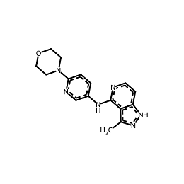 Cc1n[nH]c2ccnc(Nc3ccc(N4CCOCC4)nc3)c12